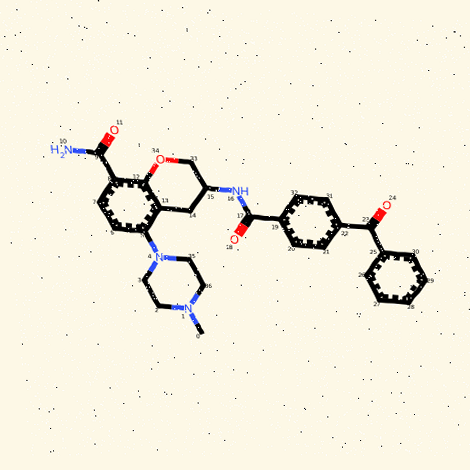 CN1CCN(c2ccc(C(N)=O)c3c2CC(NC(=O)c2ccc(C(=O)c4ccccc4)cc2)CO3)CC1